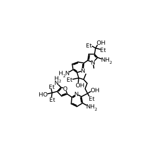 CCC(O)(CC)c1cc(-c2ccc(N)c(C(O)(CC)CCC(C)C(O)(CC)c3nc(-c4cc(C(O)(CC)CC)c(N)n4C)ccc3N)n2)oc1N